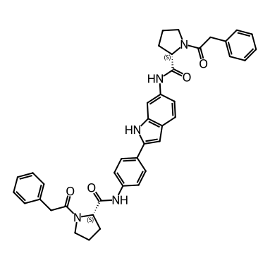 O=C(Nc1ccc(-c2cc3ccc(NC(=O)[C@@H]4CCCN4C(=O)Cc4ccccc4)cc3[nH]2)cc1)[C@@H]1CCCN1C(=O)Cc1ccccc1